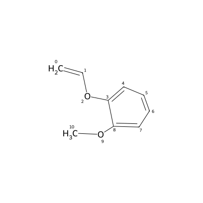 C=COc1ccccc1OC